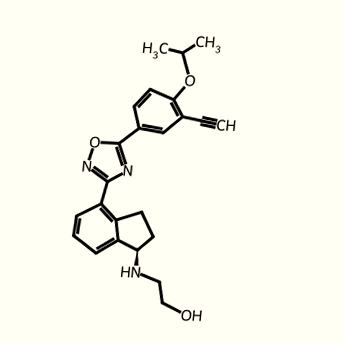 C#Cc1cc(-c2nc(-c3cccc4c3CC[C@H]4NCCO)no2)ccc1OC(C)C